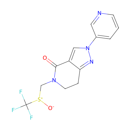 O=C1c2cn(-c3cccnc3)nc2CCN1C[S+]([O-])C(F)(F)F